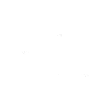 COc1ccc(C2COc3cc(OC)ccc3C2c2ccc(OC)cc2)cc1